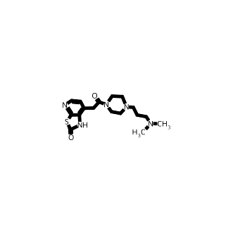 CN(C)CCCN1CCN(C(=O)Cc2ccnc3sc(=O)[nH]c23)CC1